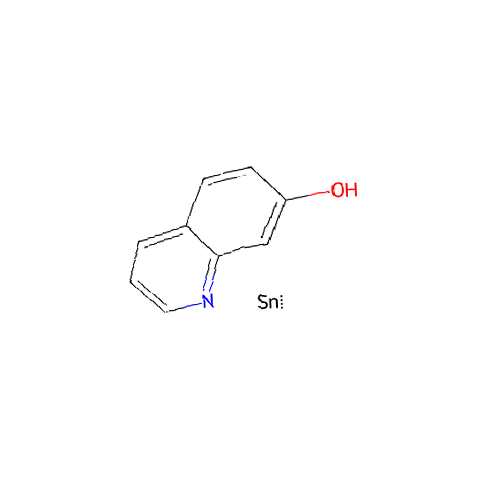 Oc1ccc2cccnc2c1.[Sn]